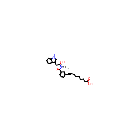 CN(C(=O)c1cccc(C#CCCCCCCC(=O)O)c1)[C@H](O)Cc1c[nH]c2ccccc12